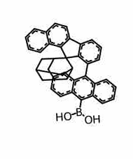 OB(O)c1c2ccccc2c(-c2cccc3c2C2(c4c-3ccc3ccccc43)C3CC4CC(C3)CC2C4)c2ccccc12